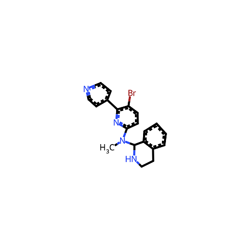 CN(c1ccc(Br)c(-c2ccncc2)n1)C1NCCc2ccccc21